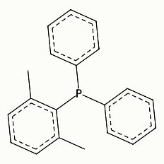 Cc1cccc(C)c1P(c1ccccc1)c1ccccc1